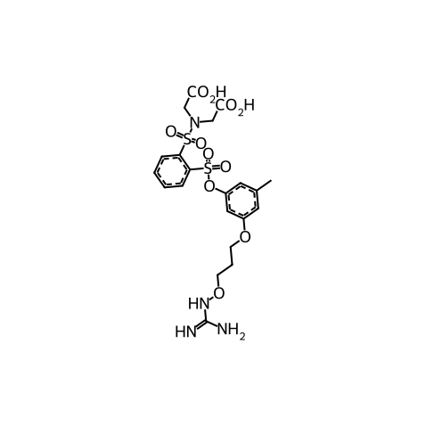 Cc1cc(OCCCONC(=N)N)cc(OS(=O)(=O)c2ccccc2S(=O)(=O)N(CC(=O)O)CC(=O)O)c1